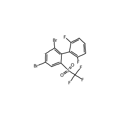 O=S(=O)(c1cc(Br)[c]c(Br)c1-c1c(F)cccc1F)C(F)(F)F